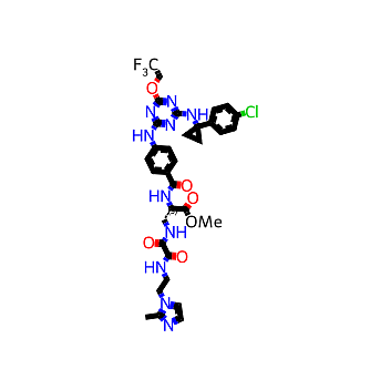 COC(=O)[C@H](CNC(=O)C(=O)NCCn1ccnc1C)NC(=O)c1ccc(Nc2nc(NC3(c4ccc(Cl)cc4)CC3)nc(OCC(F)(F)F)n2)cc1